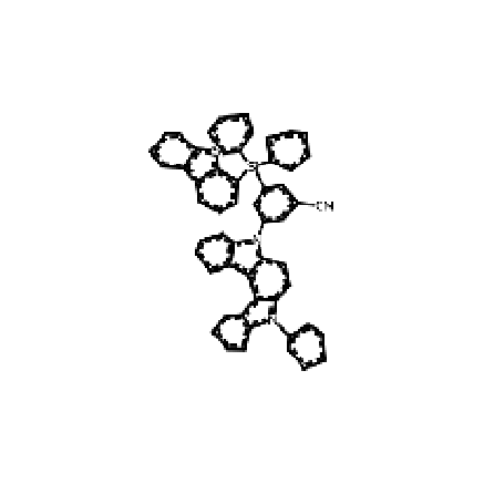 N#Cc1cc(-n2c3ccccc3c3c4c5ccccc5n(-c5ccccc5)c4ccc32)cc([Si](c2ccccc2)(c2ccccc2)c2cccc3c2sc2ccccc23)c1